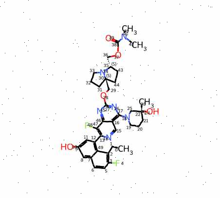 CCc1c(F)ccc2cc(O)cc(-c3ncc4c(N5CCC[C@@](C)(O)C5)nc(OC[C@@]56CCCN5[C@H](COC(=O)N(C)C)CC6)nc4c3F)c12